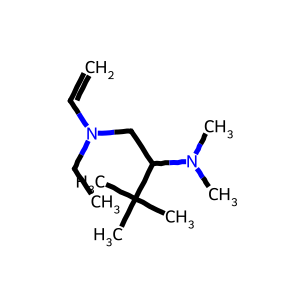 C=CN(CC)CC(N(C)C)C(C)(C)C